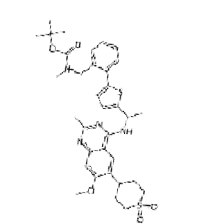 COc1cc2nc(C)nc(NC(C)c3ccc(-c4ccccc4CN(C)C(=O)OC(C)(C)C)s3)c2cc1C1CCS(=O)(=O)CC1